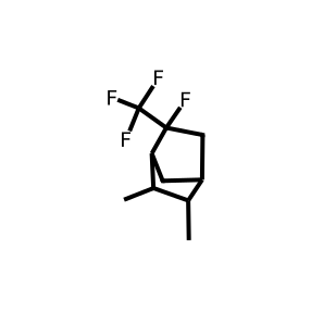 CC1C2CC(C1C)C(F)(C(F)(F)F)C2